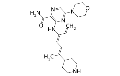 C=C/C(=C\C=C(/C)C1CCNCC1)Nc1nc(N2CCOCC2)cnc1C(N)=O